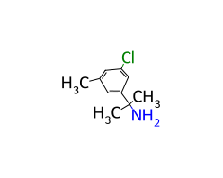 Cc1cc(Cl)cc(C(C)(C)N)c1